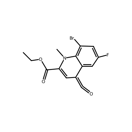 CCOC(=O)C1=CC(=C=O)c2cc(F)cc(Br)c2N1C